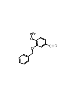 CCCOc1ccc(C=O)cc1OCc1ccccc1